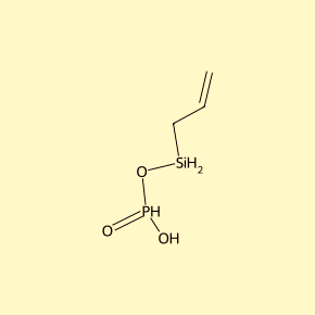 C=CC[SiH2]O[PH](=O)O